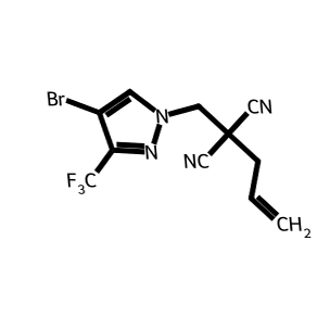 C=CCC(C#N)(C#N)Cn1cc(Br)c(C(F)(F)F)n1